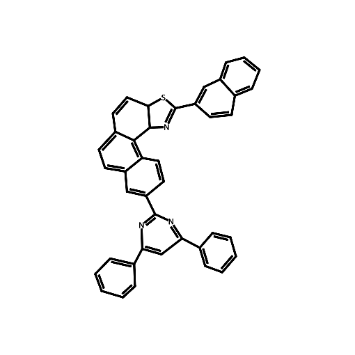 C1=CC2SC(c3ccc4ccccc4c3)=NC2c2c1ccc1cc(-c3nc(-c4ccccc4)cc(-c4ccccc4)n3)ccc21